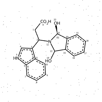 O=C(O)CC(c1c[nH]c2ccccc12)N1C(O)c2ccccc2[C@@H]1O